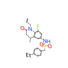 C=CCN1C(=O)CC(C)c2cc(NS(=O)(=O)Cc3ccc(CC)cc3)cc(F)c21